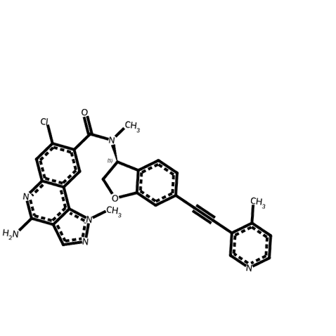 Cc1ccncc1C#Cc1ccc2c(c1)OC[C@H]2N(C)C(=O)c1cc2c(cc1Cl)nc(N)c1cnn(C)c12